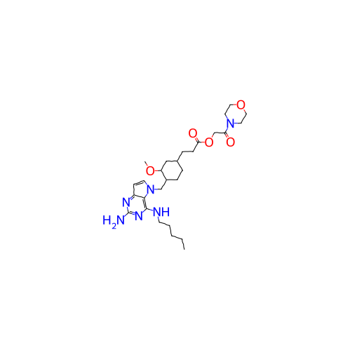 CCCCCNc1nc(N)nc2ccn(CC3CCC(CCC(=O)OCC(=O)N4CCOCC4)CC3OC)c12